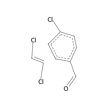 ClC=CCl.O=Cc1ccc(Cl)cc1